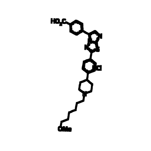 COCCCCCCN1CCC(c2ccc(-c3nn4c(-c5ccc(C(=O)O)cc5)cnc4s3)cc2)CC1.Cl